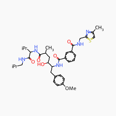 COc1ccc(CC(NC(=O)c2cccc(C(=O)NCc3nc(C)cs3)c2)C(O)CC(C)C(=O)NC(C(=O)NCC(C)C)C(C)C)cc1